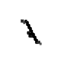 CCCCCCCC[C@H](CCCCCC)C(=O)O